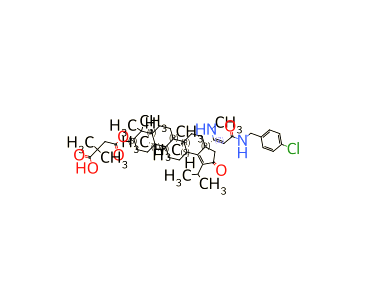 CN/C(=C\C(=O)NCc1ccc(Cl)cc1)[C@@]12CC[C@]3(C)[C@H](CC[C@@H]4[C@@]5(C)CC[C@H](OC(=O)CC(C)(C)C(=O)O)C(C)(C)[C@@H]5CC[C@]43C)C1=C(C(C)C)C(=O)C2